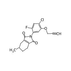 C#CCOc1cc(N2C(=O)C3=C(CC(C)CC3)C2=O)c(F)cc1Cl